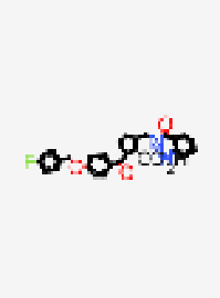 O=C(c1ccc(OCc2ccc(F)cc2)cc1)C1CCC(Cn2nnc3ccccc3c2=O)C1C(=O)O